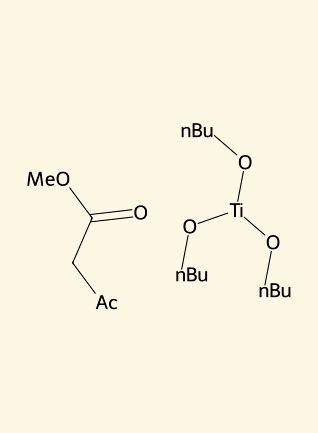 CCCC[O][Ti]([O]CCCC)[O]CCCC.COC(=O)CC(C)=O